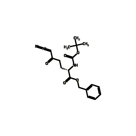 CC(C)(C)OC(=O)N[C@@H](CCC(=O)C=[N+]=[N-])C(=O)OCc1ccccc1